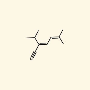 CC(C)=C/C=C(/C#N)C(C)C